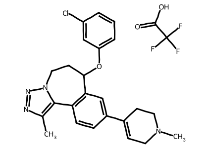 Cc1nnn2c1-c1ccc(C3=CCN(C)CC3)cc1C(Oc1cccc(Cl)c1)CC2.O=C(O)C(F)(F)F